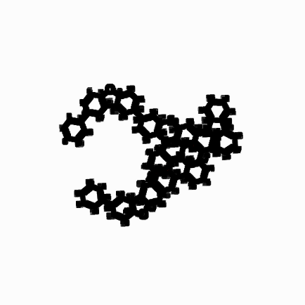 c1ccc(-c2ccc3oc4ccc(-c5ccc6c(c5)Sc5cc(-n7c8ccccc8c8ccccc87)cc7c5B6c5ccc(-c6ccc8oc9ccc(-c%10ccccc%10)cc9c8c6)cc5N7c5c(-c6ccccc6)cccc5-c5ccccc5)cc4c3c2)cc1